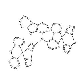 c1ccc2c(c1)Oc1ccccc1C21c2ccccc2-c2cc(N(c3cccc4c3-c3ccccc3C43c4ccccc4Sc4ccccc43)c3cccc4c3oc3ccccc34)ccc21